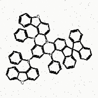 c1ccc(N2c3cc(N(c4ccccc4)c4cccc5oc6ccccc6c45)cc4c3B(c3ccc5c(c32)-c2ccccc2C52c3ccccc3-c3ccccc32)c2ccc3oc5ccccc5c3c2N4c2ccccc2)cc1